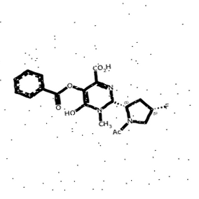 CC(=O)N1C[C@@H](F)C[C@H]1C1N=C(C(=O)O)C(OC(=O)c2ccccc2)=C(O)N1C